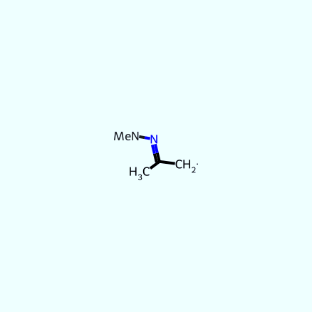 [CH2]C(C)=NNC